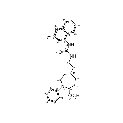 Cc1cc(NC(=O)NCCN2CCC(C(=O)O)N(c3ccccc3)CC2)c2ccccc2n1